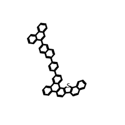 c1ccc2c(c1)cc(-c1ccc3cc(-c4ccc(-c5ccc6c(c5)c5ccccc5c5ccc7c8ccc9ccccc9c8sc7c56)cc4)ccc3c1)c1ccccc12